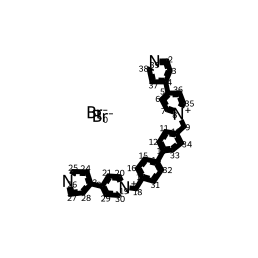 [Br-].[Br-].c1cc(-c2cc[n+](Cc3ccc(-c4ccc(C[n+]5ccc(-c6ccncc6)cc5)cc4)cc3)cc2)ccn1